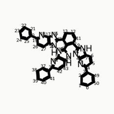 c1ccc(-c2ccc3[nH]c(-c4cccc(-c5nc6nc(-c7ccccc7)ccc6[nH]5)c4-c4nc5nc(-c6ccccc6)ccc5[nH]4)nc3n2)cc1